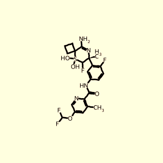 Cc1cc(OC(F)F)cnc1C(=O)Nc1ccc(F)c([C@@]2(C)N=C(N)C3(CCC3)S(O)(O)C2F)c1